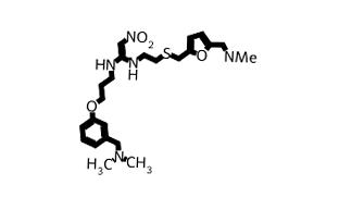 CNCc1ccc(CSCCNC(=C[N+](=O)[O-])NCCCOc2cccc(CN(C)C)c2)o1